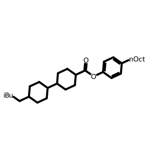 CCCCCCCCc1ccc(OC(=O)C2CCC(C3CCC(CC(C)CC)CC3)CC2)cc1